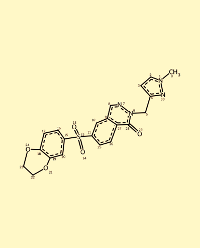 Cn1ccc(Cn2ncc3cc(S(=O)(=O)c4ccc5c(c4)OCCO5)ccc3c2=O)n1